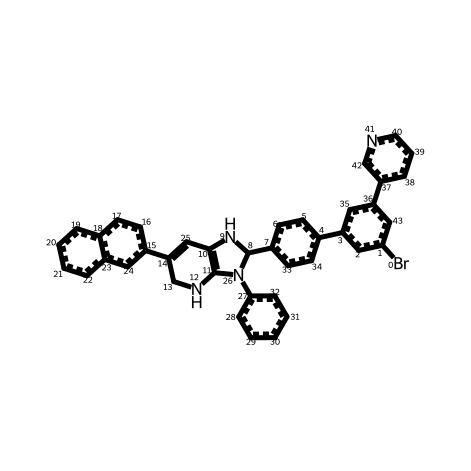 Brc1cc(-c2ccc(C3NC4=C(NCC(c5ccc6ccccc6c5)=C4)N3c3ccccc3)cc2)cc(-c2cccnc2)c1